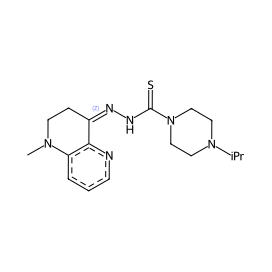 CC(C)N1CCN(C(=S)N/N=C2/CCN(C)c3cccnc32)CC1